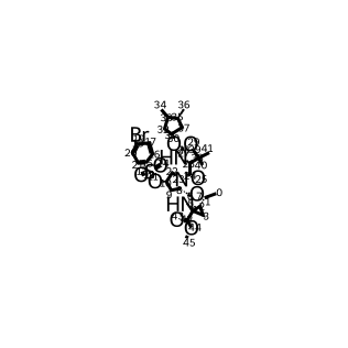 CC[C@@H]1C[C@]1(NC(=O)[C@@H]1C[C@@H](OS(=O)(=O)c2ccc(Br)cc2)CN1C(=O)[C@@H](NC(=O)O[C@H]1CC(C)[C@@H](C)C1)C(C)(C)C)C(=O)OC